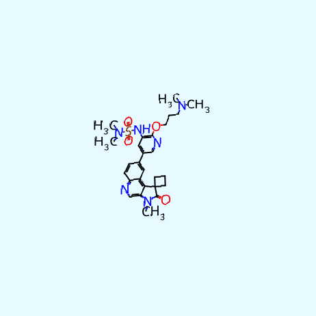 CN(C)CCCOc1ncc(-c2ccc3ncc4c(c3c2)C2(CCC2)C(=O)N4C)cc1NS(=O)(=O)N(C)C